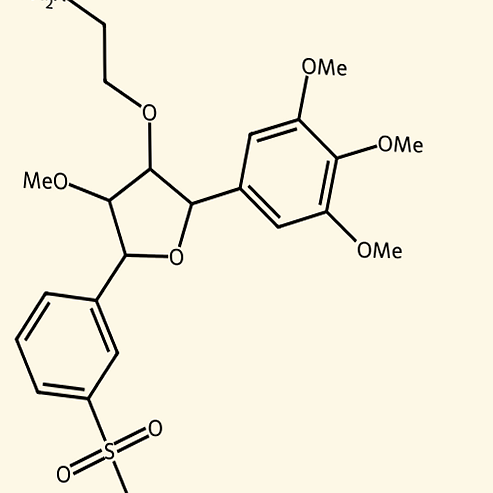 COc1cc(C2OC(c3cccc(S(C)(=O)=O)c3)C(OC)C2OCCN)cc(OC)c1OC